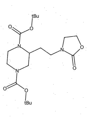 CC(C)(C)OC(=O)N1CCN(C(=O)OC(C)(C)C)C(CCN2CCOC2=O)C1